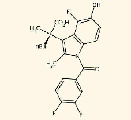 CCCC[C@@](C)(C(=O)O)c1c(C)n(C(=O)c2ccc(F)c(F)c2)c2ccc(O)c(F)c12